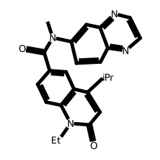 CCn1c(=O)cc(C(C)C)c2cc(C(=O)N(C)c3ccc4nccnc4c3)ccc21